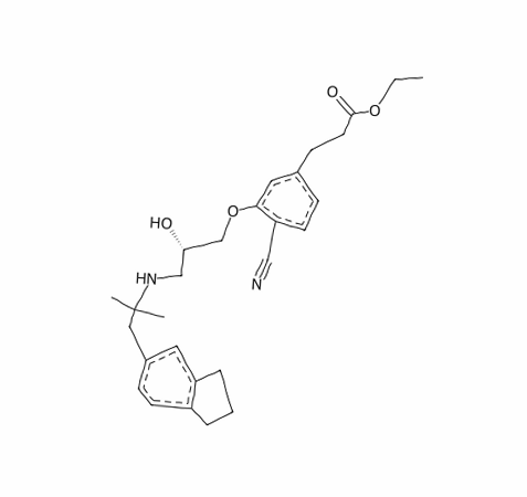 CCOC(=O)CCc1ccc(C#N)c(OC[C@@H](O)CNC(C)(C)Cc2ccc3c(c2)CCC3)c1